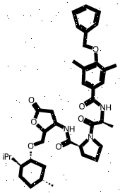 Cc1cc(C(=O)N[C@@H](C)C(=O)N2CCC[C@H]2C(=O)NC2CC(=O)OC2CO[C@@H]2C[C@H](C)CC[C@H]2C(C)C)cc(C)c1OCc1ccccc1